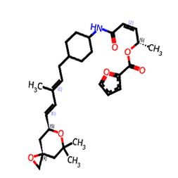 CC(/C=C/[C@@H]1C[C@]2(CO2)CC(C)(C)O1)=C\CC1CCC(NC(=O)/C=C\[C@H](C)OC(=O)c2ccco2)CC1